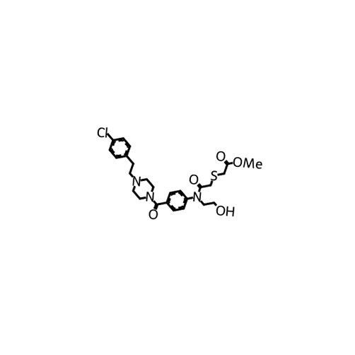 COC(=O)CSCC(=O)N(CCO)c1ccc(C(=O)N2CCN(CCc3ccc(Cl)cc3)CC2)cc1